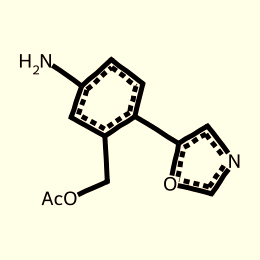 CC(=O)OCc1cc(N)ccc1-c1cnco1